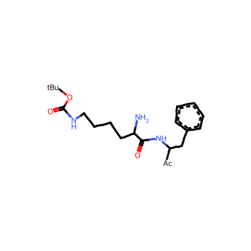 CC(=O)C(Cc1ccccc1)NC(=O)C(N)CCCCNC(=O)OC(C)(C)C